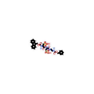 O=C(NCCNC(=O)C(CS(=O)(=O)O)NC(=O)C(CS(=O)(=O)O)NC(=O)OCC1c2ccccc2-c2ccccc21)OCc1ccccc1